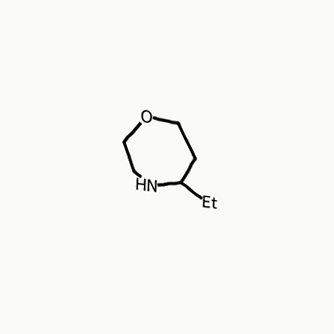 CCC1CCOCCN1